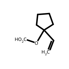 C=CC1(OC(=O)O)CCCC1